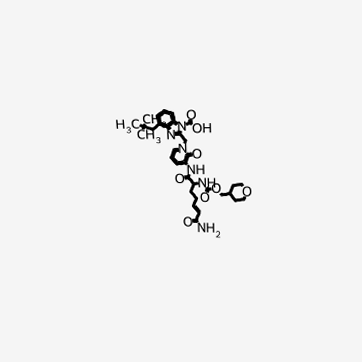 CC(C)(C)Cc1cccc2c1nc(Cn1cccc(NC(=O)C(CCC=CC(N)=O)NC(=O)OCC3CCOCC3)c1=O)n2C(=O)O